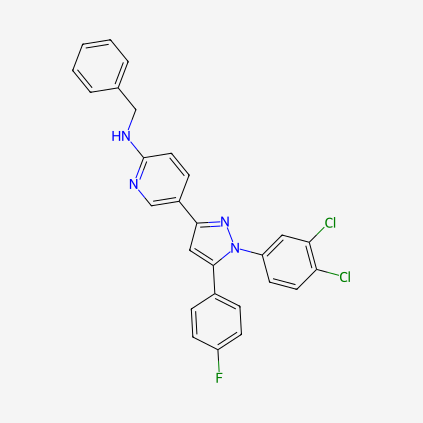 Fc1ccc(-c2cc(-c3ccc(NCc4ccccc4)nc3)nn2-c2ccc(Cl)c(Cl)c2)cc1